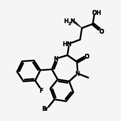 CN1C(=O)C(NC[C@H](N)C(=O)O)N=C(c2ccccc2F)c2cc(Br)ccc21